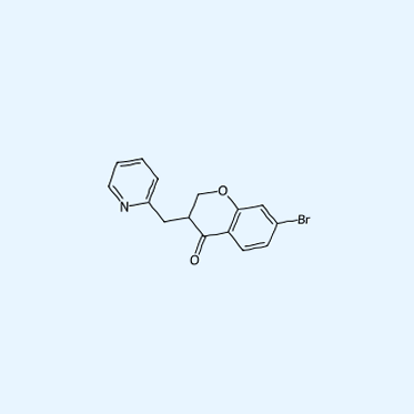 O=C1c2ccc(Br)cc2OCC1Cc1ccccn1